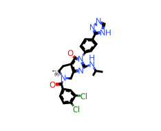 CC(C)Nc1nc2c(c(=O)n1-c1ccc(-c3nnc[nH]3)cc1)C[C@@H](C)N(C(=O)c1ccc(Cl)c(Cl)c1)C2